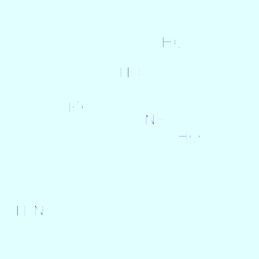 CC(NC(CO)CCCCN)c1c(O)cccc1O